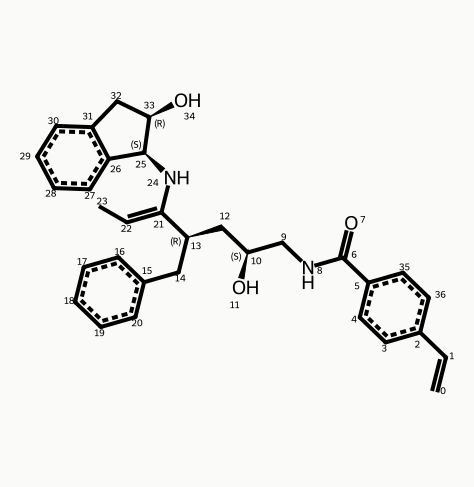 C=Cc1ccc(C(=O)NC[C@@H](O)C[C@@H](Cc2ccccc2)C(=CC)N[C@H]2c3ccccc3C[C@H]2O)cc1